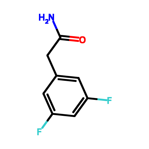 NC(=O)Cc1cc(F)cc(F)c1